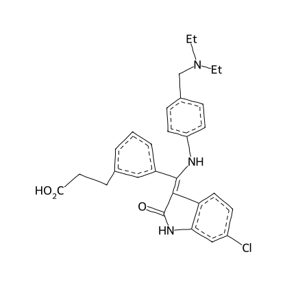 CCN(CC)Cc1ccc(NC(=C2C(=O)Nc3cc(Cl)ccc32)c2cccc(CCC(=O)O)c2)cc1